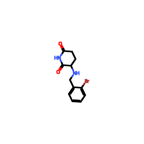 O=C1CCC(NCc2ccccc2Br)C(=O)N1